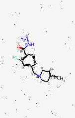 CC1CCN(Cc2ccc(C(=O)NN)c(F)c2)CC1